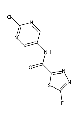 O=C(Nc1cnc(Cl)nc1)c1nnc(F)s1